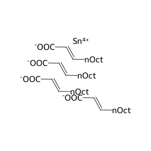 CCCCCCCCC=CC(=O)[O-].CCCCCCCCC=CC(=O)[O-].CCCCCCCCC=CC(=O)[O-].CCCCCCCCC=CC(=O)[O-].[Sn+4]